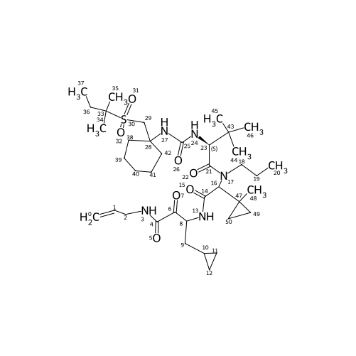 C=CCNC(=O)C(=O)C(CC1CC1)NC(=O)C(N(CCC)C(=O)[C@@H](NC(=O)NC1(CS(=O)(=O)C(C)(C)CC)CCCCC1)C(C)(C)C)C1(C)CC1